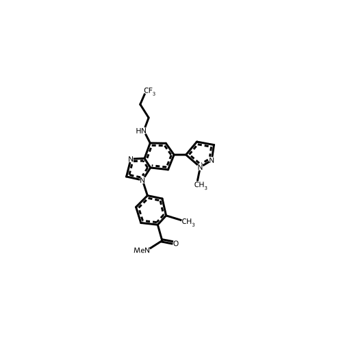 CNC(=O)c1ccc(-n2cnc3c(NCCC(F)(F)F)cc(-c4ccnn4C)cc32)cc1C